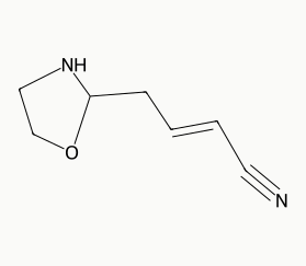 N#CC=CCC1NCCO1